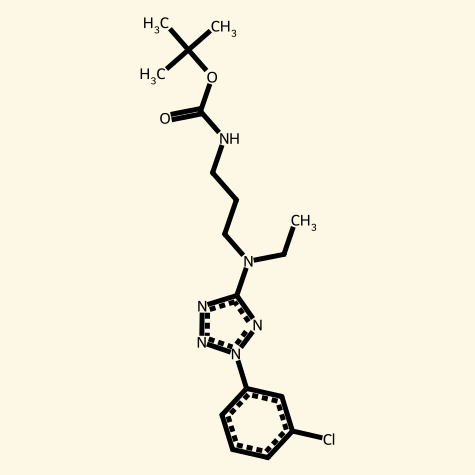 CCN(CCCNC(=O)OC(C)(C)C)c1nnn(-c2cccc(Cl)c2)n1